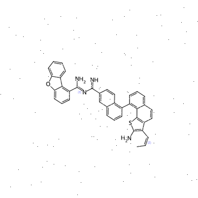 C/C=C\c1c(N)sc2c1ccc1cccc(-c3cccc4cc(C(=N)/N=C(\N)c5cccc6oc7ccccc7c56)ccc34)c12